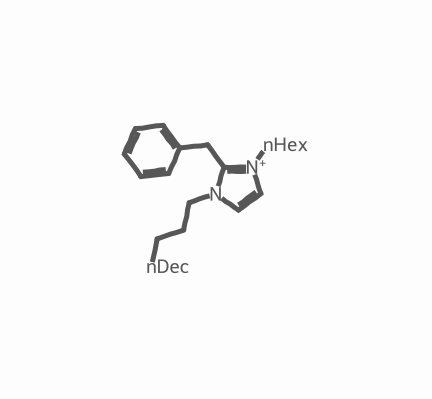 CCCCCCCCCCCCCn1cc[n+](CCCCCC)c1Cc1ccccc1